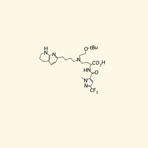 Cn1nc(C(F)(F)F)cc1C(=O)NC(CCN(CCCCc1ccc2c(n1)NCCC2)CCOC(C)(C)C)C(=O)O